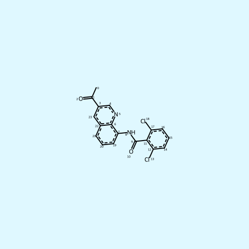 CC(=O)c1cnc2c(NC(=O)c3c(Cl)cccc3Cl)cccc2c1